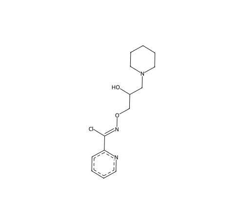 OC(CO/N=C(\Cl)c1ccccn1)CN1CCCCC1